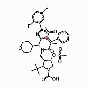 CC(=O)O[C@@H](C)C(=O)N(C[C@@H]1C(C(C)(C)C)N(C(=O)O)C[C@H]1OS(C)(=O)=O)[C@@H](c1nc(-c2cc(F)ccc2F)cn1Cc1ccccc1)C1CCOCC1